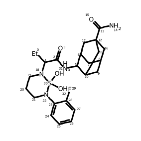 CCC(C(=O)NC1C2CC3CC1CC(C(N)=O)(C3)C2)N1CCCN(c2ccccc2F)S1(O)O